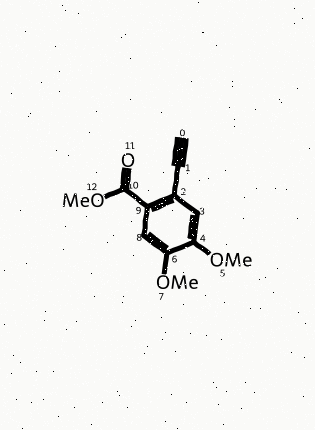 C#Cc1cc(OC)c(OC)cc1C(=O)OC